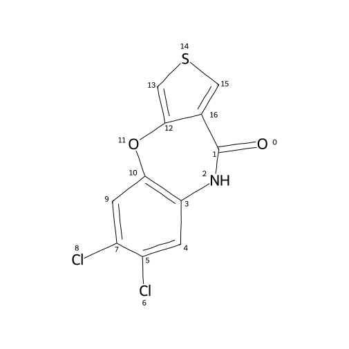 O=C1Nc2cc(Cl)c(Cl)cc2Oc2cscc21